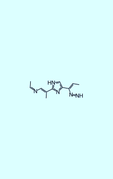 C/C=N\C=C(/C)c1nc(/C(=C/C)N=N)c[nH]1